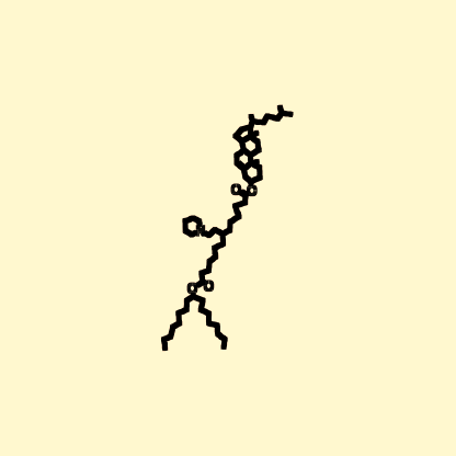 CCCCCCCCC(CCCCCCCC)OC(=O)CCCCCCC(CCCCCC(=O)OC1CCC2(C)C(=CCC3C2CCC2(C)C(C(C)CCCC(C)C)CCC32)C1)CCN1CCCCC1